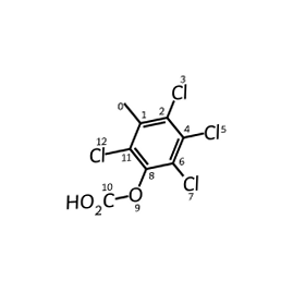 Cc1c(Cl)c(Cl)c(Cl)c(OC(=O)O)c1Cl